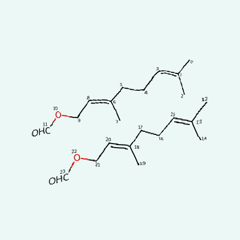 CC(C)=CCC/C(C)=C/COC=O.CC(C)=CCC/C(C)=C/COC=O